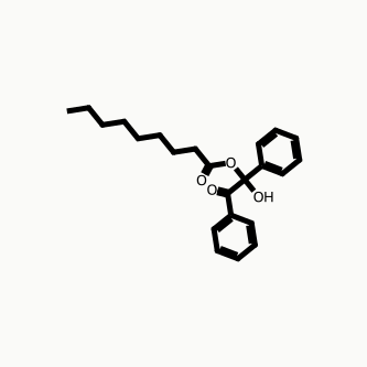 CCCCCCCCC(=O)OC(O)(C(=O)c1ccccc1)c1ccccc1